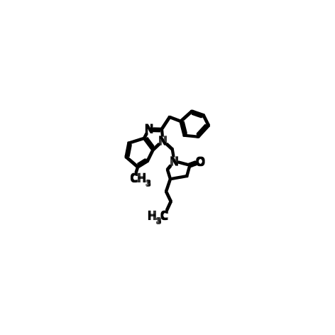 CCCC1CC(=O)N(Cn2c(Cc3ccccc3)nc3ccc(C)cc32)C1